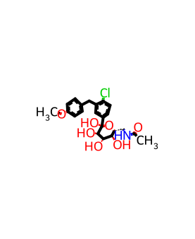 COc1ccc(Cc2cc([C@]3(O)O[C@H](CNC(C)=O)[C@@H](O)[C@H](O)[C@H]3O)ccc2Cl)cc1